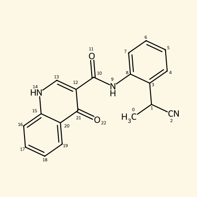 CC(C#N)c1ccccc1NC(=O)c1c[nH]c2ccccc2c1=O